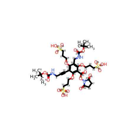 CC(C)(C)OC(=O)NCC#Cc1c(OCCCS(=O)(=O)O)c(CNC(=O)OC(C)(C)C)c(OCCCS(=O)(=O)O)c(C(=O)ON2C(=O)CCC2=O)c1OCCCS(=O)(=O)O